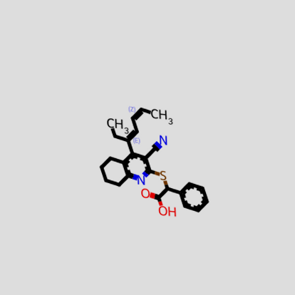 C/C=C\C=C(/CC)c1c(C#N)c(SC(C(=O)O)c2ccccc2)nc2c1CCCC2